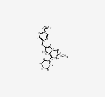 COc1ccc(Cc2cc3nc(C)nc(N4CCCCC4)c3[nH]2)cc1